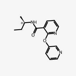 CC[C@@H](C)NC(=O)c1cccnc1Oc1cccnc1